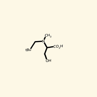 CN(CC(C)(C)C)C(CO)C(=O)O